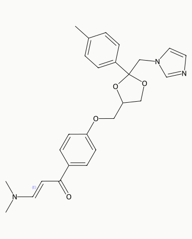 Cc1ccc(C2(Cn3ccnc3)OCC(COc3ccc(C(=O)/C=C/N(C)C)cc3)O2)cc1